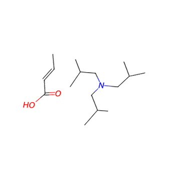 C/C=C/C(=O)O.CC(C)CN(CC(C)C)CC(C)C